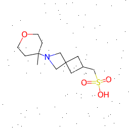 CC1(N2CC3(CC(CS(=O)(=O)O)C3)C2)CCOCC1